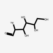 O=CC([18F])C(O)C(O)C(O)CO